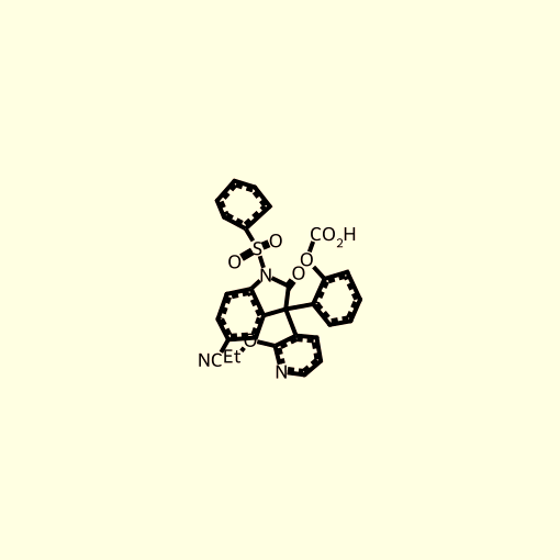 CCOc1ncccc1C1(c2ccccc2OC(=O)O)C(=O)N(S(=O)(=O)c2ccccc2)c2ccc(C#N)cc21